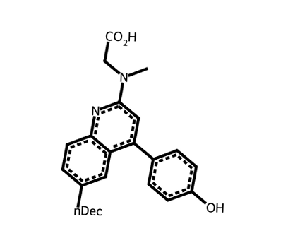 CCCCCCCCCCc1ccc2nc(N(C)CC(=O)O)cc(-c3ccc(O)cc3)c2c1